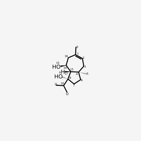 CC1=CC[C@@]2(C)CC[C@@](O)(C(C)C)[C@@H]2[C@@H](O)C1